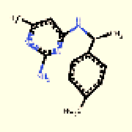 Cc1cc(N[C@@H](C)c2ccc(C(=O)O)cc2)nc(N)n1